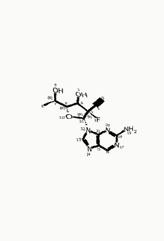 C#C[C@@]1(F)C(O)[C@@H]([C@@H](C)O)O[C@H]1n1cnc2cnc(N)nc21